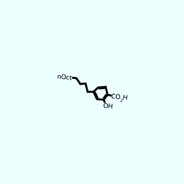 CCCCCCCCCCCCc1ccc(C(=O)O)c(O)c1